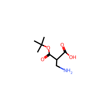 CC(C)(C)OC(=O)C(CN)C(=O)O